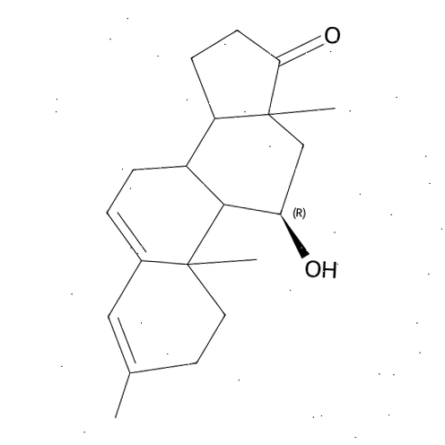 CC1=CC2=CCC3C4CCC(=O)C4(C)C[C@@H](O)C3C2(C)CC1